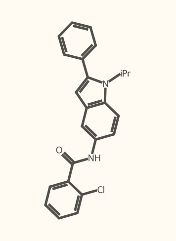 CC(C)n1c(-c2ccccc2)cc2cc(NC(=O)c3ccccc3Cl)ccc21